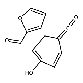 O=C=C1C=CC(O)=CC1.O=Cc1ccco1